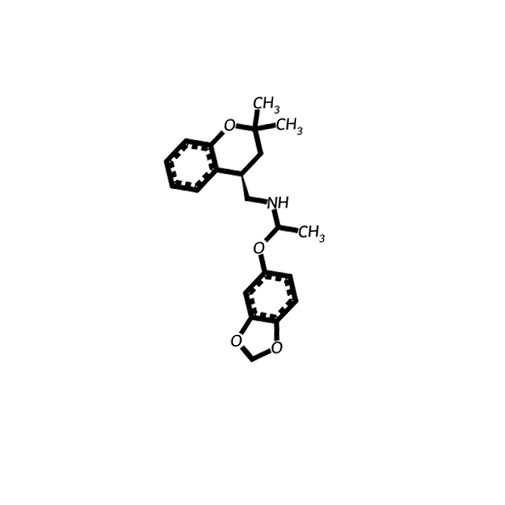 CC(NC[C@@H]1CC(C)(C)Oc2ccccc21)Oc1ccc2c(c1)OCO2